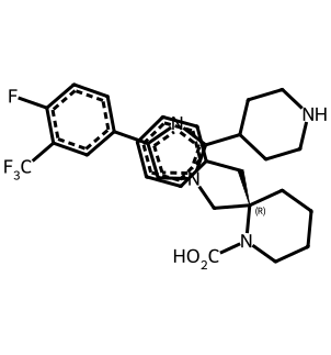 O=C(O)N1CCCC[C@@]1(Cc1ccccc1)Cn1cc(-c2ccc(F)c(C(F)(F)F)c2)nc1C1CCNCC1